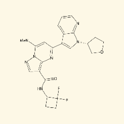 CNc1cc(-c2cn([C@@H]3CCOC3)c3ncccc23)nc2c(C(=O)NC3CCC3(F)F)cnn12